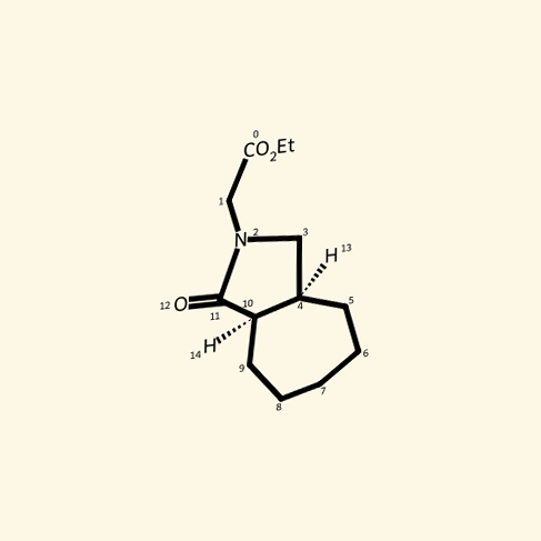 CCOC(=O)CN1C[C@H]2CCCCC[C@H]2C1=O